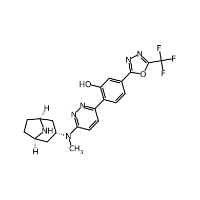 CN(c1ccc(-c2ccc(-c3nnc(C(F)(F)F)o3)cc2O)nn1)[C@@H]1C[C@H]2CC[C@@H](C1)N2